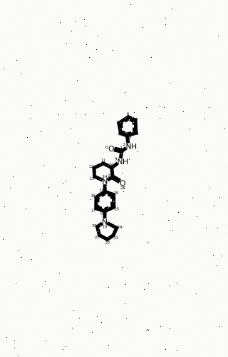 O=C(Nc1ccccc1)NC1CCCN(c2ccc(N3CCCCC3)cc2)C1=O